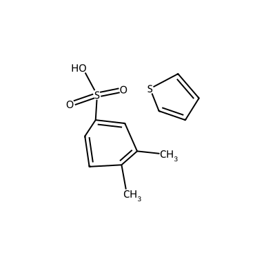 Cc1ccc(S(=O)(=O)O)cc1C.c1ccsc1